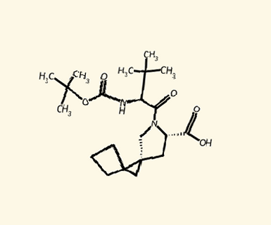 CC(C)(C)OC(=O)N[C@H](C(=O)N1C[C@]2(C[C@H]1C(=O)O)CC21CCC1)C(C)(C)C